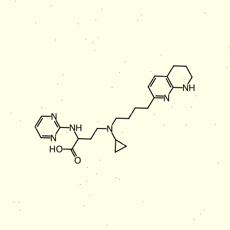 O=C(O)C(CCN(CCCCc1ccc2c(n1)NCCC2)C1CC1)Nc1ncccn1